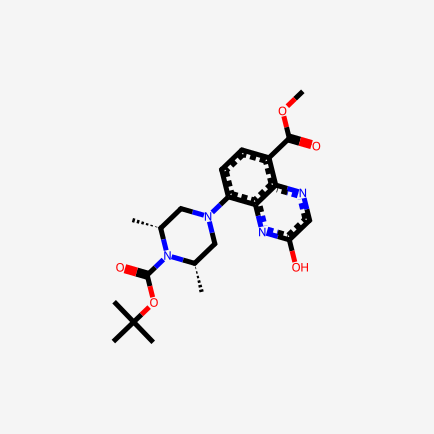 COC(=O)c1ccc(N2C[C@@H](C)N(C(=O)OC(C)(C)C)[C@@H](C)C2)c2nc(O)cnc12